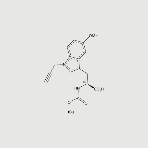 C#CCn1cc(C[C@H](NC(=O)OC(C)(C)C)C(=O)O)c2cc(OC)ccc21